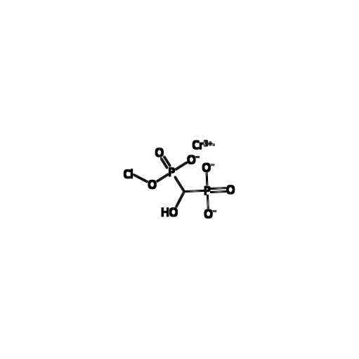 O=P([O-])([O-])C(O)P(=O)([O-])OCl.[Cr+3]